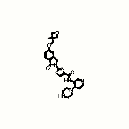 CC1(COc2ccc3c(c2)CN(c2nc(C(=O)Nc4cnccc4N4CCNCC4)cs2)C3=O)COC1